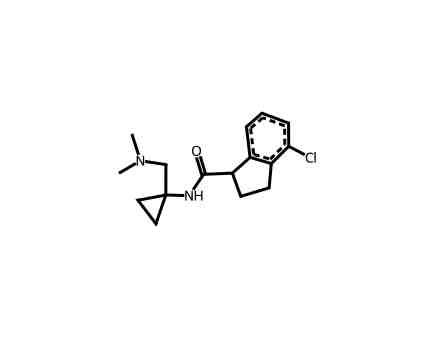 CN(C)CC1(NC(=O)C2CCc3c(Cl)cccc32)CC1